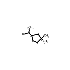 CC(O)C1CCC(C)(C)C1